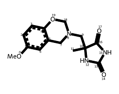 COc1ccc2c(c1)CN(CC1(C)NC(=O)NC1=O)CO2